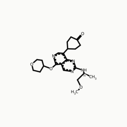 COC[C@H](C)Nc1ncc2c(OC3CCOCC3)ncc(C3CCC(=O)CC3)c2n1